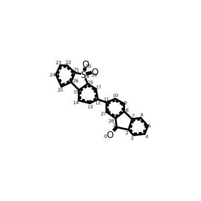 O=C1c2ccccc2-c2ccc(-c3ccc4c(c3)S(=O)(=O)c3ccccc3-4)cc21